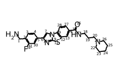 NCc1ccc(-c2cn3c(n2)sc2cc(C(=O)NCCCN4CCCCC4)ccc23)cc1F